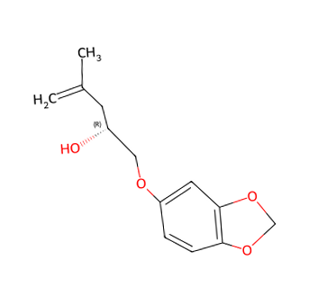 C=C(C)C[C@@H](O)COc1ccc2c(c1)OCO2